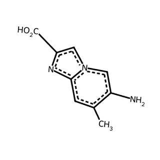 Cc1cc2nc(C(=O)O)cn2cc1N